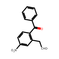 O=[C]Cc1cc([N+](=O)[O-])ccc1C(=O)c1ccccc1